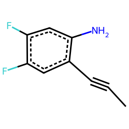 CC#Cc1cc(F)c(F)cc1N